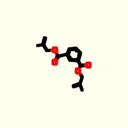 C=C(C)COC(=O)c1cccc(C(=O)OCC(=C)C)c1